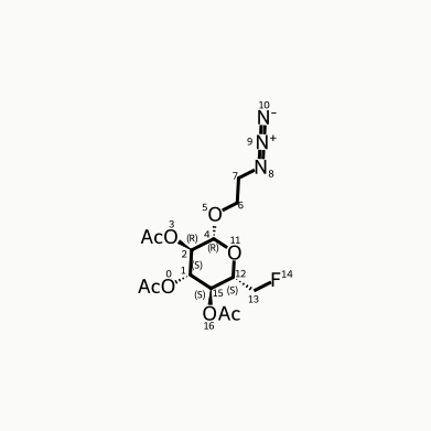 CC(=O)O[C@@H]1[C@@H](OC(C)=O)[C@H](OCCN=[N+]=[N-])O[C@H](CF)[C@H]1OC(C)=O